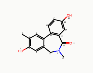 Cc1cc2c(cc1O)CN(C)C(=O)c1cc(O)ccc1-2